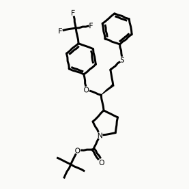 CC(C)(C)OC(=O)N1CCC([C@H](CCSc2ccccc2)Oc2ccc(C(F)(F)F)cc2)C1